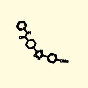 COc1ccc(-c2noc(N3CCC(C(=O)Nc4ccccc4)CC3)n2)cc1